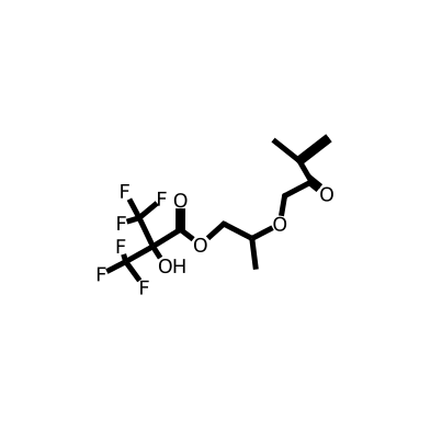 C=C(C)C(=O)COC(C)COC(=O)C(O)(C(F)(F)F)C(F)(F)F